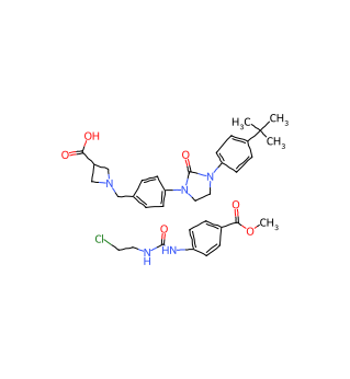 CC(C)(C)c1ccc(N2CCN(c3ccc(CN4CC(C(=O)O)C4)cc3)C2=O)cc1.COC(=O)c1ccc(NC(=O)NCCCl)cc1